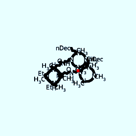 CCCCCCCCCCCCCC1CCN(CCCNC(=O)CCC2=C(C)c3cc4[nH]c(cc5nc(cc6[nH]c(cc2n3)c(CCC(=O)NCCCN2CCCN(C)CCCCN(C)CCCN(C)C(CCCCCCCCCCCCC)CC2)c6C)C(CC)=C5C)c(CC)c4C)CCCN(C)CCCCN(C)CCCN1C